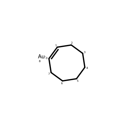 C1=CCCCCCC1.[Au]